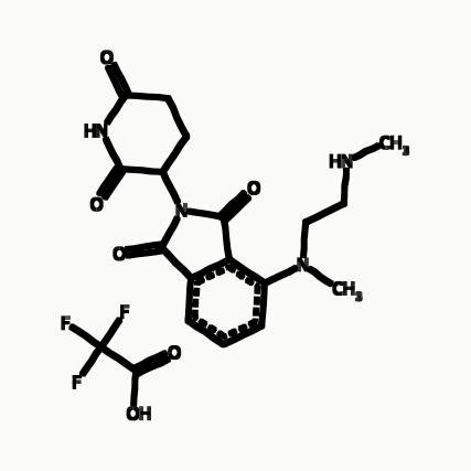 CNCCN(C)c1cccc2c1C(=O)N(C1CCC(=O)NC1=O)C2=O.O=C(O)C(F)(F)F